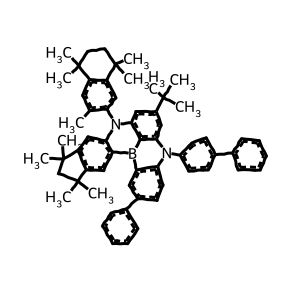 Cc1cc2c(cc1N1c3cc4c(cc3B3c5cc(-c6ccccc6)ccc5N(c5ccc(-c6ccccc6)cc5)c5cc(C(C)(C)C)cc1c53)C(C)(C)CC4(C)C)C(C)(C)CCC2(C)C